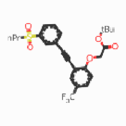 CCCS(=O)(=O)c1cccc(C#Cc2cc(C(F)(F)F)ccc2OCC(=O)OC(C)(C)C)c1